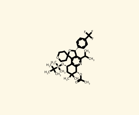 CC(=O)O[C@H]1c2nc(C(C)C)c3c(c2[C@@H](O[Si](C)(C)C(C)(C)C)CC1(C)C)C1(CCOCC1)O[C@@H]3c1ccc(C(F)(F)F)cc1